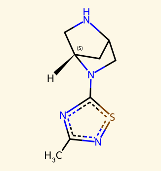 Cc1nsc(N2CC3C[C@H]2CN3)n1